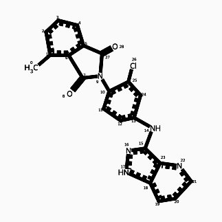 Cc1cccc2c1C(=O)N(c1ccc(Nc3n[nH]c4cccnc34)cc1Cl)C2=O